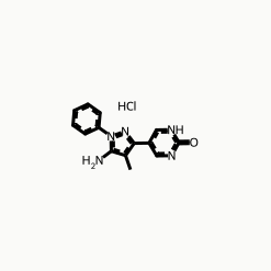 Cc1c(-c2cnc(=O)[nH]c2)nn(-c2ccccc2)c1N.Cl